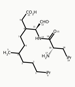 CC(C)CCCC(C)CCC(CC(=O)O)[C@@H]([C]=O)NC(=O)[C@@H](N)CC(C)C